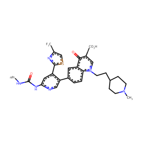 CCCNC(=O)Nc1cc(-c2nc(C(F)(F)F)cs2)c(-c2ccc3c(c2)c(=O)c(C(=O)O)cn3CCC2CCN(C)CC2)cn1